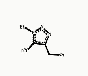 CCCc1c(CC(C)C)nnn1CC